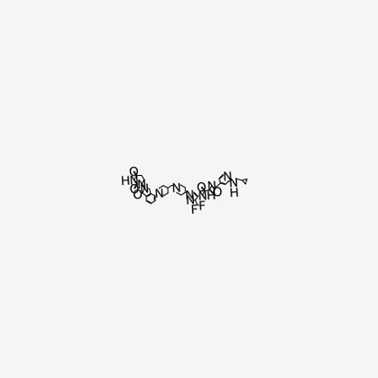 O=C1CCN(N2Cc3c(cccc3N3CCC(CN4CCC(n5cc(NC(=O)c6coc(-c7ccnc(NCC8CC8)c7)n6)c(C(F)F)n5)CC4)CC3)C2=O)C(=O)N1